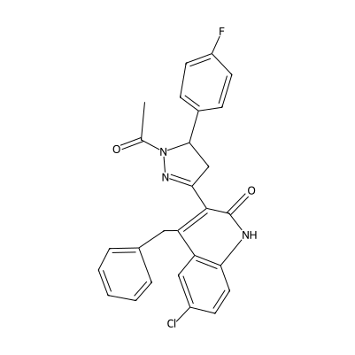 CC(=O)N1N=C(c2c(Cc3ccccc3)c3cc(Cl)ccc3[nH]c2=O)CC1c1ccc(F)cc1